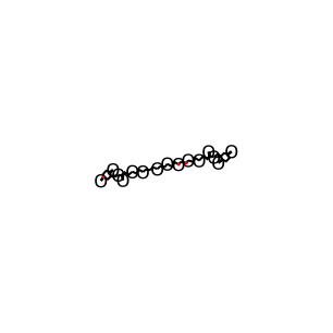 O=C1CCC(=O)/C(=C\OC(=O)CCOCCOCCCOCCOCCOCCOCCOCCC(=O)O/C=C2/CC(=O)CCC2=O)C1